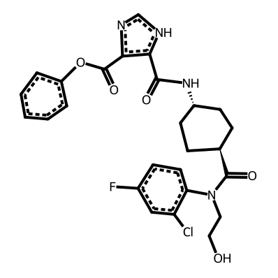 O=C(Oc1ccccc1)c1nc[nH]c1C(=O)N[C@H]1CC[C@H](C(=O)N(CCO)c2ccc(F)cc2Cl)CC1